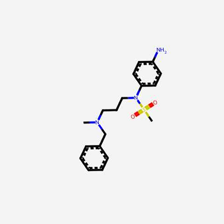 CN(CCCN(c1ccc(N)cc1)S(C)(=O)=O)Cc1ccccc1